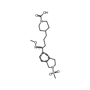 CO/N=C(\CCCC1CCN(C(=O)O)CC1)c1ccc2c(c1)CCN(S(C)(=O)=O)C2